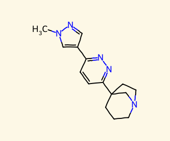 Cn1cc(-c2ccc(C34CCCN(CC3)C4)nn2)cn1